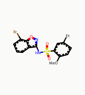 CCc1ccc(OC)c(S(=O)(=O)Nc2noc3c(Br)cccc23)c1